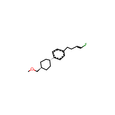 COC[C@H]1CC[C@H](c2ccc(CCC=CF)cc2)CC1